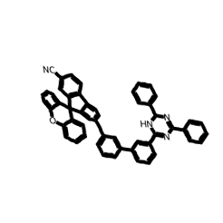 N#Cc1ccc2c(c1)C1(c3ccccc3Oc3ccccc31)c1cc(-c3cccc(-c4cccc(C5=NC(c6ccccc6)=NC(c6ccccc6)N5)c4)c3)ccc1-2